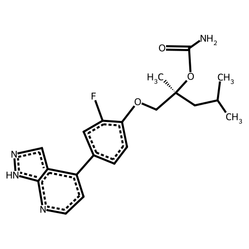 CC(C)C[C@@](C)(COc1ccc(-c2ccnc3[nH]ncc23)cc1F)OC(N)=O